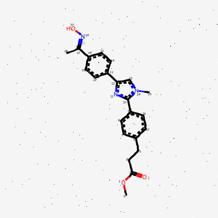 COC(=O)CCc1ccc(-c2nc(-c3ccc(/C(C)=N/O)cc3)cn2C)cc1